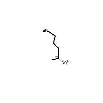 CCC(C)CCC[C@@H](C)SC